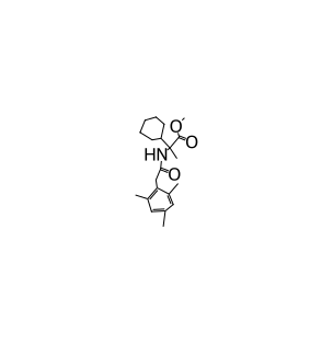 COC(=O)C(C)(NC(=O)Cc1c(C)cc(C)cc1C)C1CCCCC1